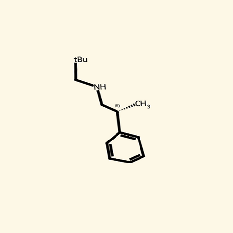 C[C@@H](CNCC(C)(C)C)c1ccccc1